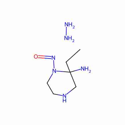 CCC1(N)CNCCN1N=O.NN